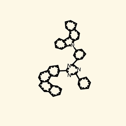 c1ccc(-c2nc(-c3cccc(-n4c5ccccc5c5c6ccccc6ccc54)c3)nc(-c3ccc4ccc5ccc6ccccc6c5c4c3)n2)cc1